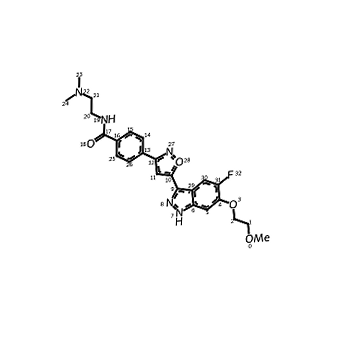 COCCOc1cc2[nH]nc(-c3cc(-c4ccc(C(=O)NCCN(C)C)cc4)no3)c2cc1F